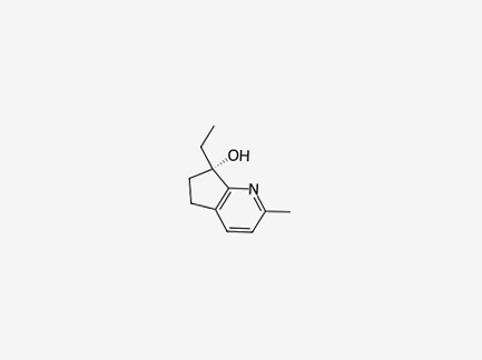 CC[C@]1(O)CCc2ccc(C)nc21